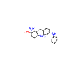 Nc1ccc(O)c(N)c1Cc1ccc(Nc2ccccc2)cc1